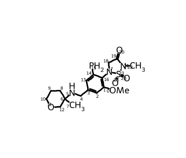 COc1cc(CNC2(C)CCCOC2)cc(P)c1N1CC(=O)N(C)S1(=O)=O